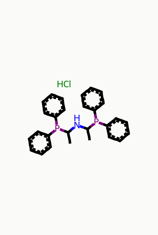 CC(NC(C)P(c1ccccc1)c1ccccc1)P(c1ccccc1)c1ccccc1.Cl